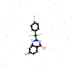 Oc1nc(C(F)(F)c2ccc(F)cc2)nc2cc(Br)ccc12